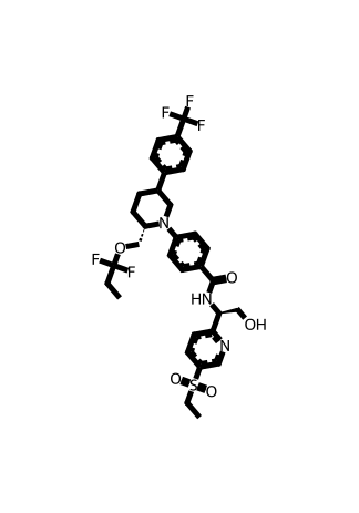 CCC(F)(F)OC[C@@H]1CCC(c2ccc(C(F)(F)F)cc2)CN1c1ccc(C(=O)N[C@@H](CO)c2ccc(S(=O)(=O)CC)cn2)cc1